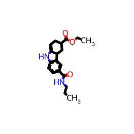 CCCNC(=O)c1ccc2c(c1)C1CC(C(=O)OCC)CC=C1N2